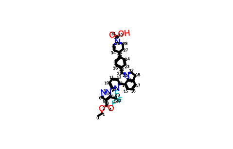 CCOC(=O)c1cnn(-c2cccc(-c3cccc4c3N(Cc3ccc(C5CCN(C(=O)O)CC5)cc3)CC4)n2)c1C(F)(F)F